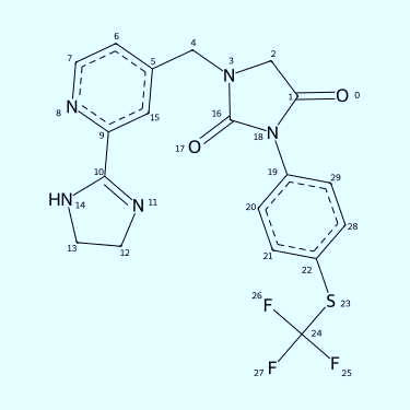 O=C1CN(Cc2ccnc(C3=NCCN3)c2)C(=O)N1c1ccc(SC(F)(F)F)cc1